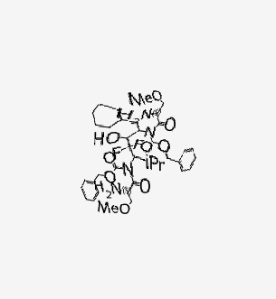 COC[C@H](N)C(=O)N(C(=O)OCc1ccccc1)C(CC1CCCCC1)C(O)C(F)(F)C(C(C)C)N(C(=O)OCc1ccccc1)C(=O)[C@@H](N)COC